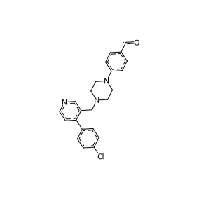 O=[C]c1ccc(N2CCN(Cc3cnccc3-c3ccc(Cl)cc3)CC2)cc1